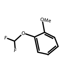 COc1cc[c]cc1OC(F)F